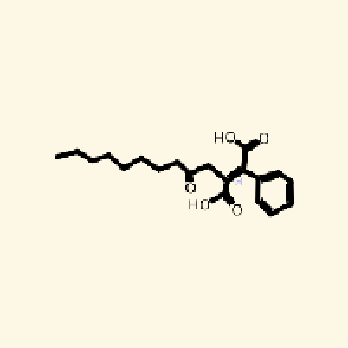 CCCCCCCCC(=O)C/C(C(=O)O)=C(\C(=O)O)c1ccccc1